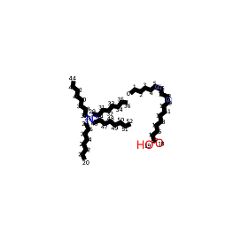 CCCCC/C=C\C/C=C\CCCCCCCC(=O)O.CCCCCCCC[N+](CCCCCCCC)(CCCCCCCC)CCCCCCCC